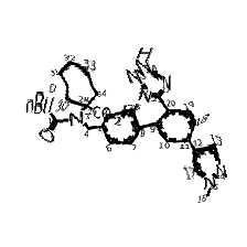 CCCCC(=O)N(Cc1ccc(-c2cc(-c3cnn(C)c3)ccc2-c2nn[nH]n2)cc1)C1(C(=O)O)CCCCC1